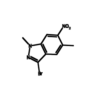 Cc1cc2c(Br)nn(C)c2cc1[N+](=O)[O-]